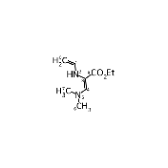 C=CN/C(=C\N(C)C)C(=O)OCC